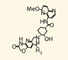 COc1ccc2nccc(NC(=O)[C@@H]3CC[C@@H](NCc4nc5c(cc4C)OCC(=O)N5)[C@H](O)C3)c2n1